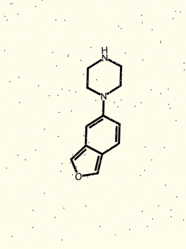 c1cc2cocc2cc1N1CCNCC1